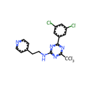 Clc1cc(Cl)cc(-c2nc(NCCc3ccncc3)nc(C(Cl)(Cl)Cl)n2)c1